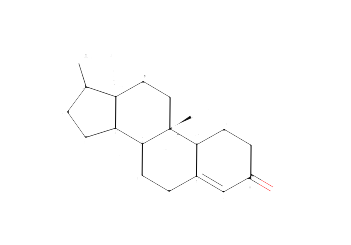 CC(=O)OC1CCC2[C@@H]3CCC4=CC(=O)CC[C@]4(C)[C@H]3CC[C@]12C